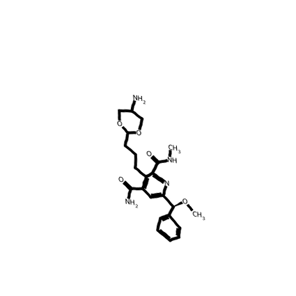 CNC(=O)c1nc([C@@H](OC)c2ccccc2)cc(C(N)=O)c1CCCC1OCC(N)CO1